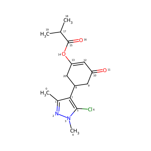 Cc1nn(C)c(Cl)c1C1CC(=O)C=C(OC(=O)C(C)C)C1